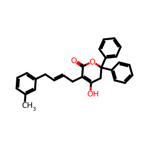 Cc1cccc(CC=CCC2=C(O)CC(c3ccccc3)(c3ccccc3)OC2=O)c1